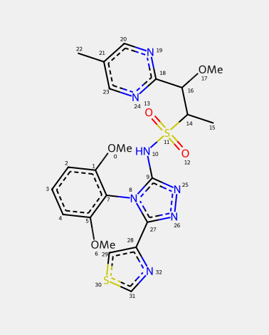 COc1cccc(OC)c1-n1c(NS(=O)(=O)C(C)C(OC)c2ncc(C)cn2)nnc1-c1cscn1